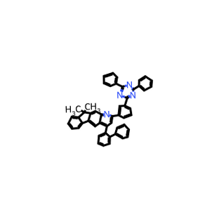 CC1(C)c2ccccc2-c2cc3c(-c4ccccc4-c4ccccc4)cc(-c4cccc(-c5nc(-c6ccccc6)nc(-c6ccccc6)n5)c4)nc3cc21